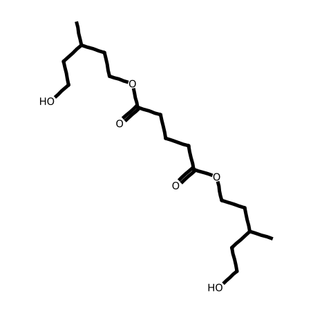 CC(CCO)CCOC(=O)CCCC(=O)OCCC(C)CCO